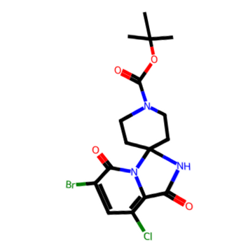 CC(C)(C)OC(=O)N1CCC2(CC1)NC(=O)c1c(Cl)cc(Br)c(=O)n12